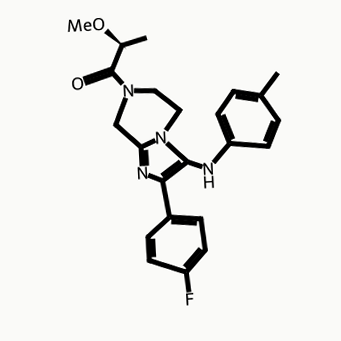 CO[C@@H](C)C(=O)N1CCn2c(nc(-c3ccc(F)cc3)c2Nc2ccc(C)cc2)C1